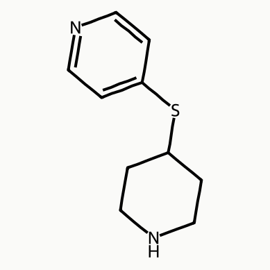 c1cc(SC2CCNCC2)ccn1